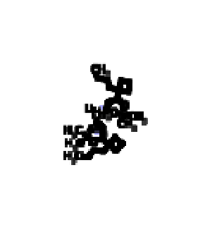 [Li][Cu](/[CH]=C/C(O[Si](C)(C)C)C1(CCCC)CCC1)/[CH]=C/C(O[Si](C)(C)C)C1(CCCC)CCC1